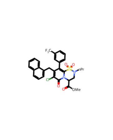 CCCN1CC(C(=O)OC)n2c(c(-c3cccc(C(F)(F)F)c3)c(Cc3cccc4ccccc34)c(Cl)c2=O)S1(=O)=O